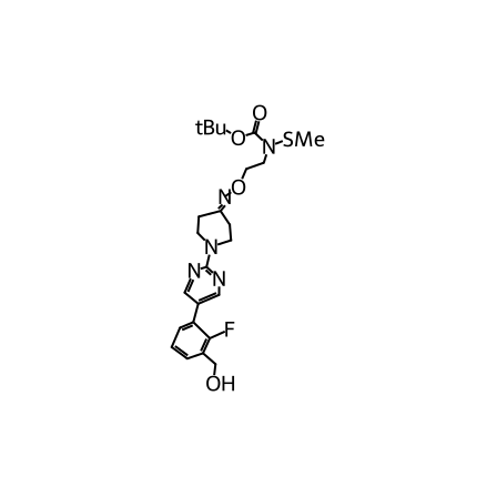 CSN(CCON=C1CCN(c2ncc(-c3cccc(CO)c3F)cn2)CC1)C(=O)OC(C)(C)C